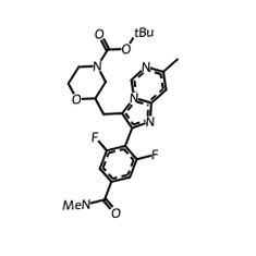 CNC(=O)c1cc(F)c(-c2nc3cc(C)ncn3c2CC2CN(C(=O)OC(C)(C)C)CCO2)c(F)c1